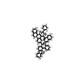 c1ccc(-c2nc(-c3cccc4ccccc34)c(-c3cccc(-c4nc5ccccc5c5c4ccc4c6ccccc6oc45)c3)c(-c3cccc4ccccc34)n2)cc1